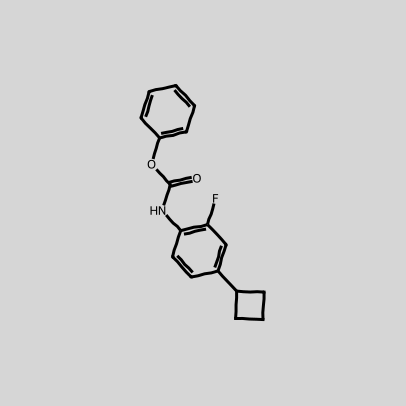 O=C(Nc1ccc(C2CCC2)cc1F)Oc1ccccc1